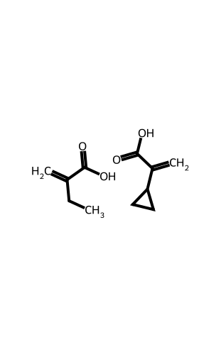 C=C(C(=O)O)C1CC1.C=C(CC)C(=O)O